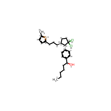 CCCCCC(O)c1ccc([C@@H]2[C@@H](CCCc3ccc(C)s3)CCC2(Cl)Cl)cc1